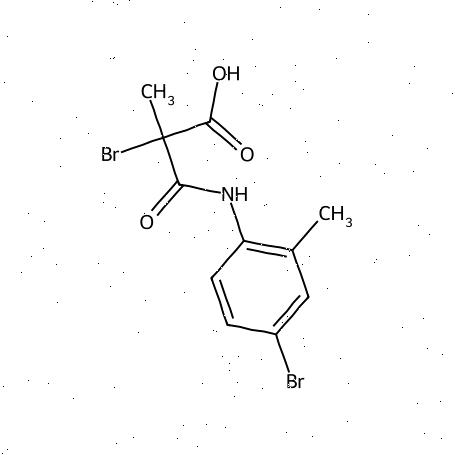 Cc1cc(Br)ccc1NC(=O)C(C)(Br)C(=O)O